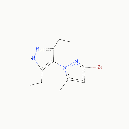 CCC1=N[N]C(CC)=C1n1nc(Br)cc1C